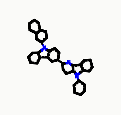 c1ccc(-n2c3ccccc3c3nc(-c4ccc5c(c4)c4ccccc4n5-c4ccc5ccccc5c4)ccc32)cc1